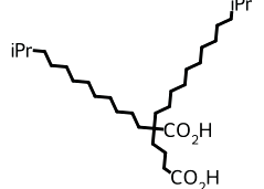 CC(C)CCCCCCCCCCC(CCCCCCCCCCC(C)C)(CCCC(=O)O)C(=O)O